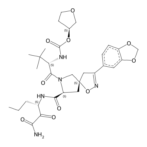 CCC[C@H](NC(=O)[C@@H]1C[C@]2(CC(c3ccc4c(c3)OCO4)=NO2)CN1C(=O)[C@@H](NC(=O)O[C@H]1CCOC1)C(C)(C)C)C(=O)C(N)=O